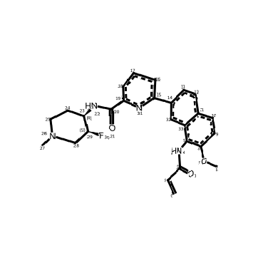 C=CC(=O)Nc1c(OC)ccc2ccc(-c3cccc(C(=O)N[C@@H]4CCN(C)C[C@@H]4F)n3)cc12